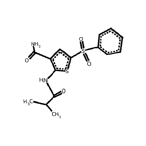 CC(C)C(=O)Nc1sc(S(=O)(=O)c2ccccc2)cc1C(N)=O